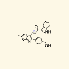 Cc1cn2c(/C=C/C(=O)c3c[nH]c4ccccc34)c(-c3ccc(CO)cc3)nc2s1